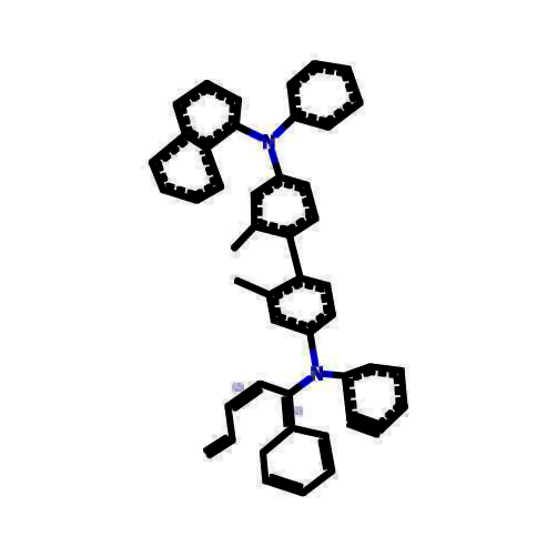 C=C/C=C\C(=C1\C=CC=CC1)N(c1c#cccc1)c1ccc(-c2ccc(N(c3ccccc3)c3cccc4ccccc34)cc2C)c(C)c1